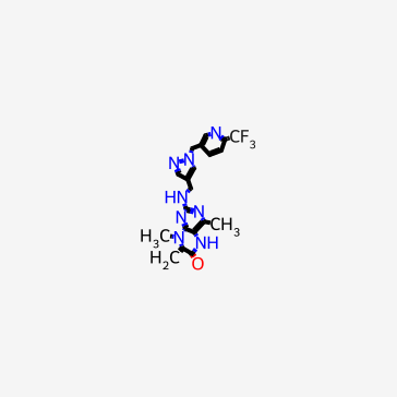 C=C1C(=O)Nc2c(C)nc(NCc3cnn(Cc4ccc(C(F)(F)F)nc4)c3)nc2N1C